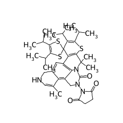 CC1=CNCc2cc3c4c(c21)CN(N1C(=O)CCC1=O)C(=O)N4C(C)(C)C1=C3C2(SC(C(C)C)=C(C(C)C)S2)C(C(C)C)=C(C(C)C)S1